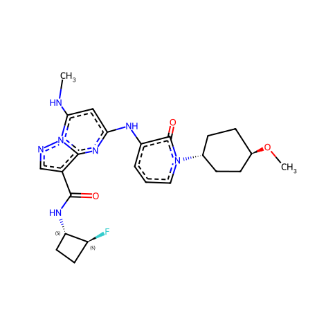 CNc1cc(Nc2cccn([C@H]3CC[C@H](OC)CC3)c2=O)nc2c(C(=O)N[C@H]3CC[C@@H]3F)cnn12